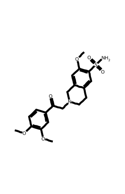 COc1ccc(C(=O)CN2CCc3cc(S(N)(=O)=O)c(OC)cc3C2)cc1OC